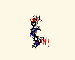 CC(C)(O)CN1CC2CCC(C1)N2Cc1ccc(-c2cc3c(cn2)cc(-c2ccc(S(C)(=O)=O)cc2)n3C2CC2)cc1